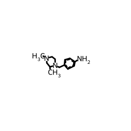 CC1CN(C)CCN1Cc1ccc(N)cc1